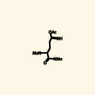 CNC(=O)C(CCC(=N)OC(C)=O)NC